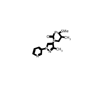 CSCC(C)CN(C(=O)C(C)C)c1cn(-c2cccnc2)nc1C